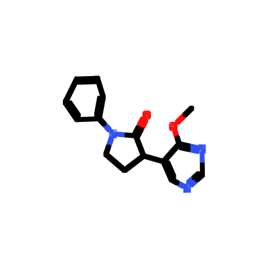 COc1ncncc1C1CCN(c2ccccc2)C1=O